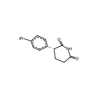 CC(C)c1ccc([C@H]2CCC(=O)NC2=O)cc1